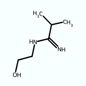 CC(C)C(=N)NCCO